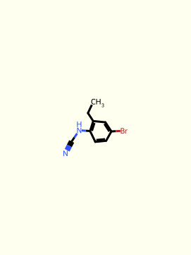 CCc1cc(Br)ccc1NC#N